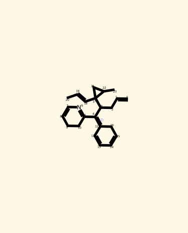 C=CCC(/C(C1=NC=CCC1)=C1/C=CC=CC1)C1(C=CC)CC1C